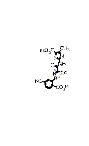 CCOC(=O)c1sc(NC(=O)/C(=N/Nc2cc(C#N)ccc2C(=O)O)C(C)=O)nc1C